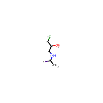 CC(I)NCC(O)CCl